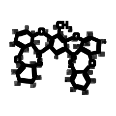 Cc1c2c(cc3c1OC1C=CC=C4Oc5ccccc5SB3C41)B1Sc3ccccc3Oc3cccc(c31)O2